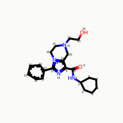 O=C(NC1CCCCC1)c1nc(-c2ccccc2)n2c1CN(CCO)CC2